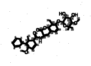 COC1=C(c2ccccc2)C(C)C(C(=O)Nc2cc3ccc(O[C@@H]4OC(C)(C)[C@H](OC)[C@@H](O)[C@H]4O)c(C)c3oc2=O)C=C1